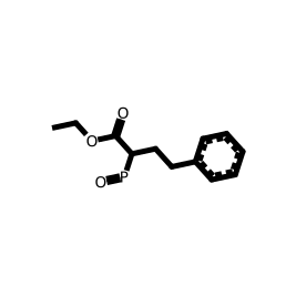 CCOC(=O)C(CCc1ccccc1)P=O